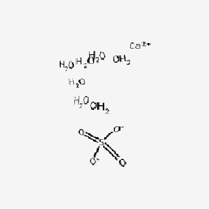 O.O.O.O.O.O.O.O=S(=O)([O-])[O-].[Ca+2]